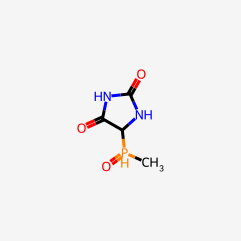 C[PH](=O)C1NC(=O)NC1=O